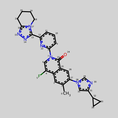 Cc1cc2c(F)cn(-c3cccc(-c4nnc5n4CCCC5)n3)c(=O)c2cc1-n1cnc(C2CC2)c1